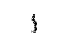 CN(C)c1ccc(-c2cn(-c3ccc(OCCOCCOCCO)cc3)cn2)cc1